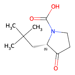 CC(C)(C)C[C@H]1C(=O)CCN1C(=O)O